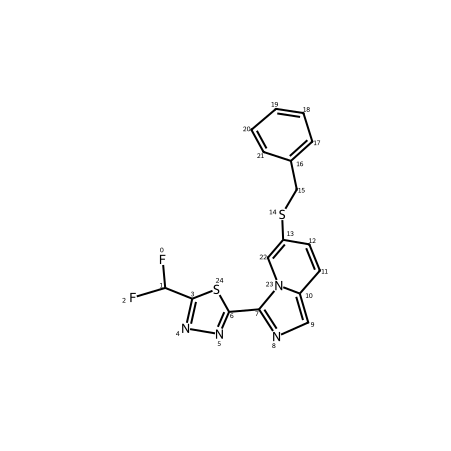 FC(F)c1nnc(-c2ncc3ccc(SCc4ccccc4)cn23)s1